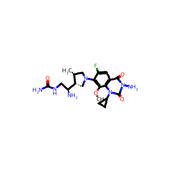 COc1c(N2C[C@H]([C@@H](N)CNC(N)=O)[C@H](C)C2)c(F)cc2c(=O)n(N)c(=O)n(C3CC3)c12